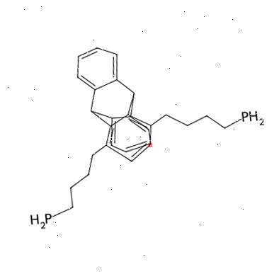 PCCCCc1ccc(CCCCP)c2c1C1c3ccccc3C2c2ccccc21